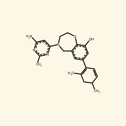 CC1=C(c2cc(O)c3c(c2)CN(c2cc(N)nc(C)n2)CCO3)C=CC(C)C1